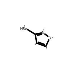 [SeH]c1ccon1